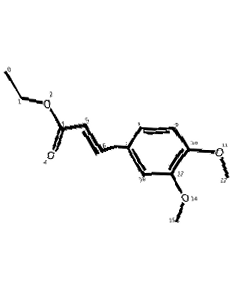 CCOC(=O)C=Cc1ccc(OC)c(OC)c1